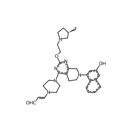 O=CC=CN1CCN(c2nc(OCCN3CC[C@@H](F)C3)nc3c2CCN(c2cc(O)cc4ccccc24)C3)CC1